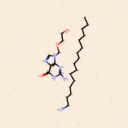 CCCCCCCCCCCCCCCCN.Nc1nc2c(ncn2COCCO)c(=O)[nH]1